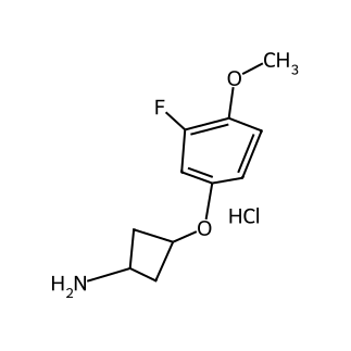 COc1ccc(OC2CC(N)C2)cc1F.Cl